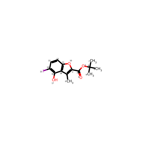 Cc1c(C(=O)OC(C)(C)C)oc2ccc(I)c(O)c12